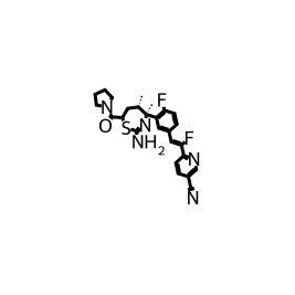 C[C@H]1CC(C(=O)N2CCCC2)SC(N)=N[C@]1(C)c1cc(/C=C(\F)c2ccc(C#N)cn2)ccc1F